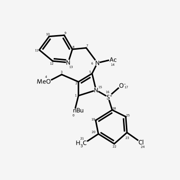 CCCCC1C(COC)=C(N(Cc2ccccn2)C(C)=O)N1[S+]([O-])c1cc(C)cc(Cl)c1